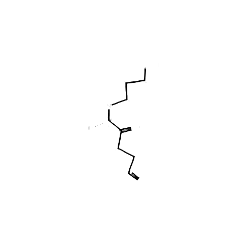 C=CCCC(=O)[C@@H](NCCCS(=O)(=O)O)C(C)C